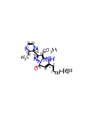 CCCCCCC/C=C/c1cc(=O)n2nc(-c3nccnc3C)c(C(=O)O)c2[nH]1